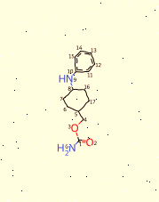 NC(=O)OCC1CCC(Nc2ccccc2)CC1